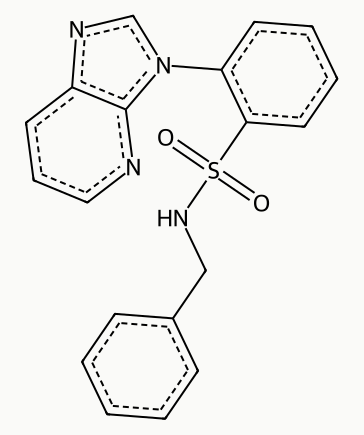 O=S(=O)(NCc1ccccc1)c1ccccc1-n1cnc2cccnc21